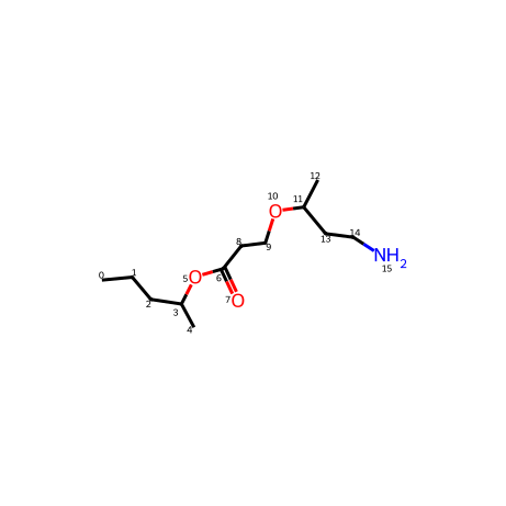 CCCC(C)OC(=O)CCOC(C)CCN